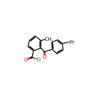 CCCc1ccc(C(=O)c2c(C)cccc2C(=O)Cl)cc1